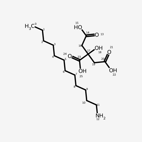 CCCCCCCCCCCCN.O=C(O)CC(O)(CC(=O)O)C(=O)O